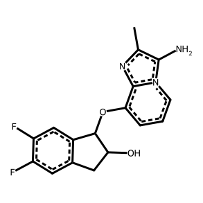 Cc1nc2c(OC3c4cc(F)c(F)cc4CC3O)cccn2c1N